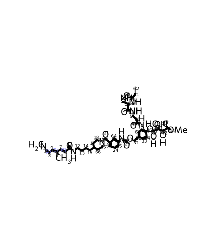 C=N\C=C/C=C(C)/C=C/C(=O)NCCCCC1CCN(C(=O)c2cccc(NC(=O)OCc3ccc(O[C@@H](O)[C@@H](O)C(O)C(OC)C(=O)O)c(NC(=O)CCNC(=O)C(CN)NC(=O)CI)c3)c2)CC1